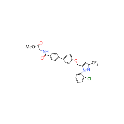 COC(=O)CNC(=O)c1ccc(-c2ccc(OCc3cc(C(F)(F)F)nn3-c3ccccc3Cl)cc2)cc1